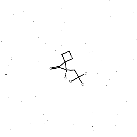 O=C1C(Cl)(CC(Cl)(Cl)Cl)C12CCC2